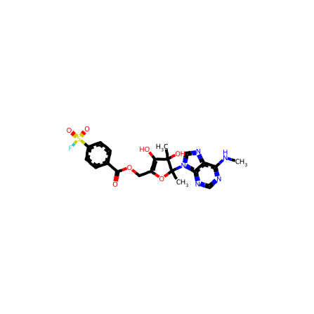 CNc1ncnc2c1ncn2C1(C)OC(COC(=O)c2ccc(S(=O)(=O)F)cc2)=C(O)C1(C)O